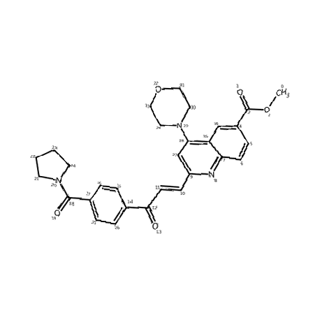 COC(=O)c1ccc2nc(C=CC(=O)c3ccc(C(=O)N4CCCC4)cc3)cc(N3CCOCC3)c2c1